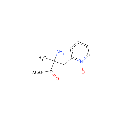 COC(=O)C(C)(N)Cc1cccc[n+]1[O-]